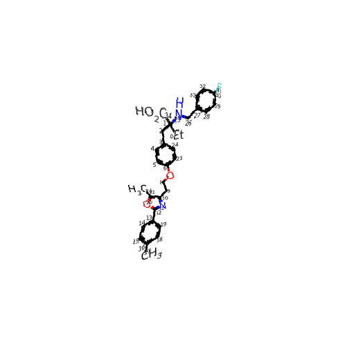 CCC(Cc1ccc(OCCc2nc(-c3ccc(C)cc3)oc2C)cc1)(NCc1ccc(F)cc1)C(=O)O